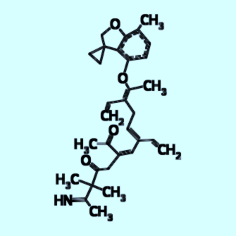 C=C/C(C/C=C(C=C)/C=C(/CC(=O)C(C)(C)C(C)=N)C(C)=O)=C(/C)Oc1ccc(C)c2c1C1(CC1)CO2